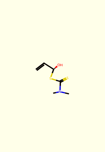 C=C[C@@H](O)SC(=S)N(C)C